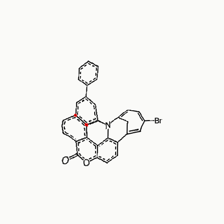 O=c1oc2ccc3c(c2c2ccccc12)N(c1cccc(-c2ccccc2)c1)C1=CC=C(Br)C=C3C1